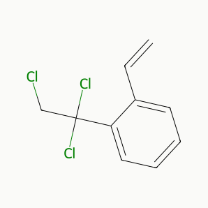 C=Cc1ccccc1C(Cl)(Cl)CCl